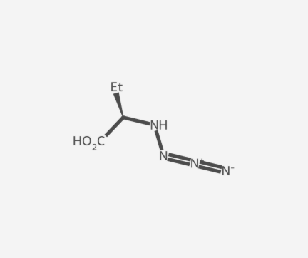 CC[C@@H](NN=[N+]=[N-])C(=O)O